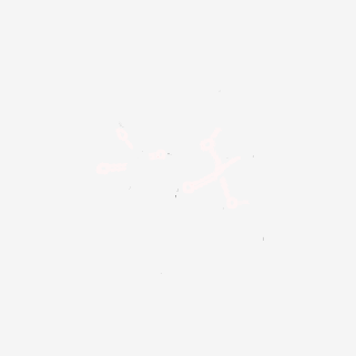 CCOP(C)(=O)OCC.Cc1ccc(S([O])(=O)=O)cc1